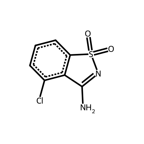 NC1=NS(=O)(=O)c2cccc(Cl)c21